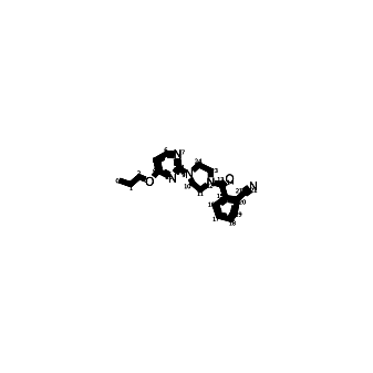 CCCOc1ccnc(N2CCN(C(=O)c3ccccc3C#N)CC2)n1